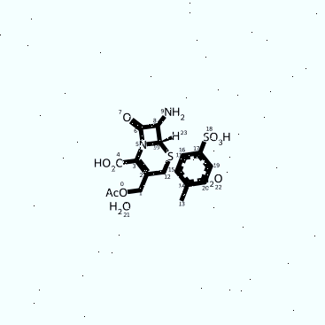 CC(=O)OCC1=C(C(=O)O)N2C(=O)C(N)[C@@H]2SC1.Cc1ccc(S(=O)(=O)O)cc1.O.O